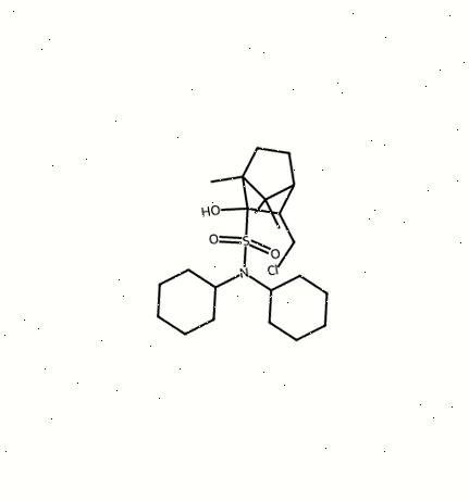 CC1(C)C2CCC1(C)C(O)(S(=O)(=O)N(C1CCCCC1)C1CCCCC1)C2CCl